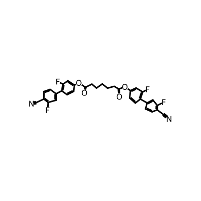 N#Cc1ccc(-c2ccc(OC(=O)CCCCCC(=O)Oc3ccc(-c4ccc(C#N)c(F)c4)c(F)c3)cc2F)cc1F